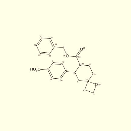 O=C(O)c1ccc(C2CC3(CCO3)CCN2C(=O)OCc2ccccc2)cc1